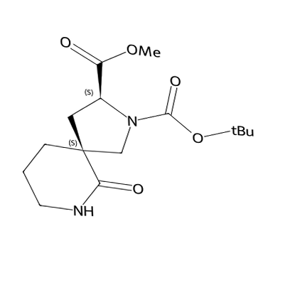 COC(=O)[C@@H]1C[C@@]2(CCCNC2=O)CN1C(=O)OC(C)(C)C